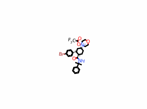 CC(C)(NC(=O)[C@@H]1CC[C@@H]([N+]2(OC(=O)C(F)(F)F)CCOCC2)C[C@H]1c1ccc(Br)cc1)c1ccccc1